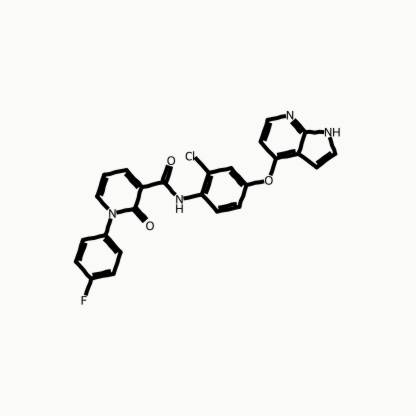 O=C(Nc1ccc(Oc2ccnc3[nH]ccc23)cc1Cl)c1cccn(-c2ccc(F)cc2)c1=O